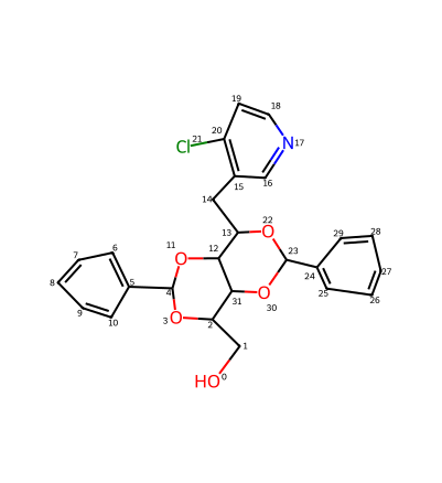 OCC1OC(c2ccccc2)OC2C(Cc3cnccc3Cl)OC(c3ccccc3)OC12